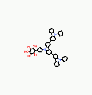 Oc1c(O)c(O)c(-c2ccc(-n3c4ccc(-c5ccc6c(c5)c5ccccc5n6-c5ccccc5)cc4c4cc(-c5ccc6c(c5)c5ccccc5n6-c5ccccc5)ccc43)cc2)c(O)c1O